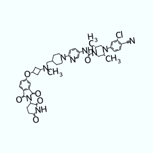 C[C@@H]1CN(c2ccc(C#N)c(Cl)c2)[C@@H](C)CN1C(=O)Nc1ccc(N2CCC(CN(C)C3CC(Oc4ccc5c(c4)C(=O)N(C4CCC(=O)NC4=O)C5=O)C3)CC2)nc1